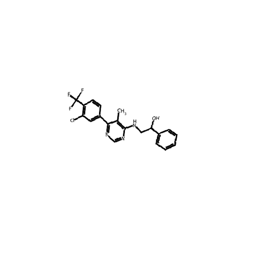 Cc1c(NCC(O)c2ccccc2)ncnc1-c1ccc(C(F)(F)F)c(Cl)c1